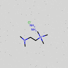 CN(C)CC[N+](C)(C)C.N.N.[Cl-]